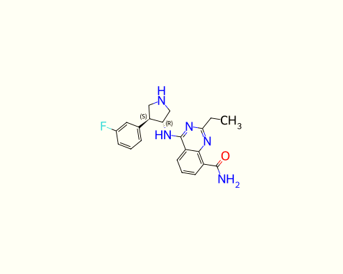 CCc1nc(N[C@H]2CNC[C@@H]2c2cccc(F)c2)c2cccc(C(N)=O)c2n1